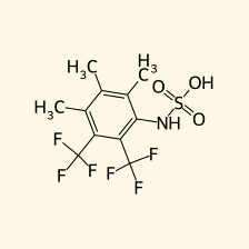 Cc1c(C)c(NS(=O)(=O)O)c(C(F)(F)F)c(C(F)(F)F)c1C